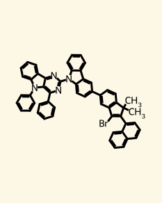 CC1(C)C(c2cccc3ccccc23)=C(Br)c2cc(-c3ccc4c(c3)c3ccccc3n4-c3nc(-c4ccccc4)c4c(n3)c3ccccc3n4-c3ccccc3)ccc21